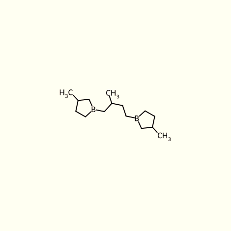 CC1CCB(CCC(C)CB2CCC(C)C2)C1